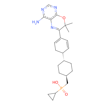 CC1(C)Oc2ncnc(N)c2N=C1C1=CCC([C@H]2CC[C@H](CP(=O)(O)C3CC3)CC2)C=C1